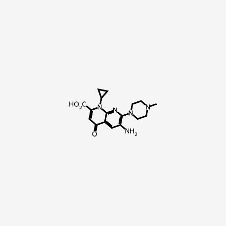 CN1CCN(c2nc3c(cc2N)c(=O)cc(C(=O)O)n3C2CC2)CC1